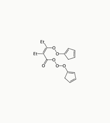 CCC(OOC1=CC=CC1)=C(CC)C(=O)OOOC1=CC=CC1